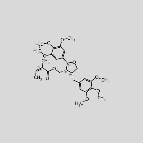 C/C=C(/C)C(=O)OC[C@H]1[C@@H](Cc2cc(OC)c(OC)c(OC)c2)CO[C@@H]1c1cc(OC)c(OC)c(OC)c1